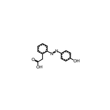 O=C(O)Cc1ccccc1N=Nc1ccc(O)cc1